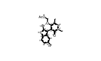 CC(=O)OCOc1c(C)nn(C)c(=O)c1-c1c(Br)sc2ccc(F)cc12